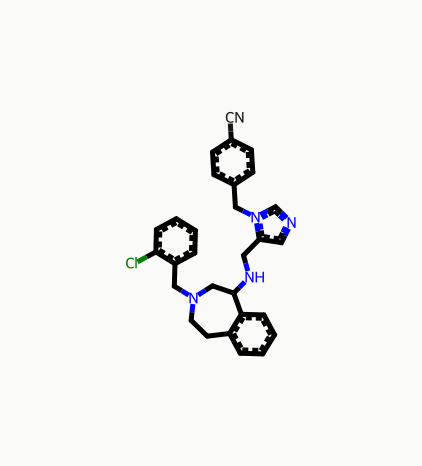 N#Cc1ccc(Cn2cncc2CNC2CN(Cc3ccccc3Cl)CCc3ccccc32)cc1